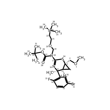 COC[C@]12C[C@H]1[C@@](C)(c1cc(Br)ccc1F)N=C(N(COCC[Si](C)(C)C)C(=O)OC(C)(C)C)S2